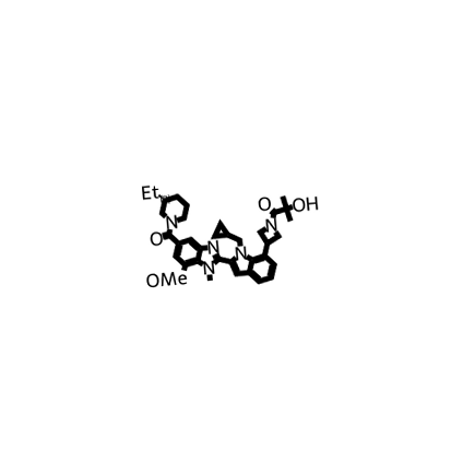 CC[C@@H]1CCCN(C(=O)c2cc(OC)c3c(c2)nc(-c2cc4cccc(C5CN(C(=O)C(C)(C)O)C5)c4n2CC2CC2)n3C)C1